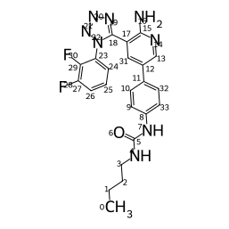 CCCCNC(=O)Nc1ccc(-c2cnc(N)c(-c3nnnn3-c3cccc(F)c3F)c2)cc1